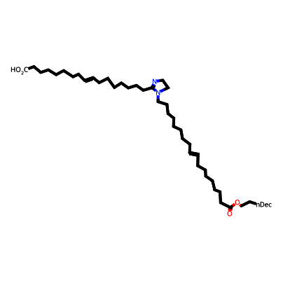 CCCCCCCCCCCCOC(=O)CCCCCCCC=CCCCCCCCCN1CCN=C1CCCCCCCC=CCCCCCCCC(=O)O